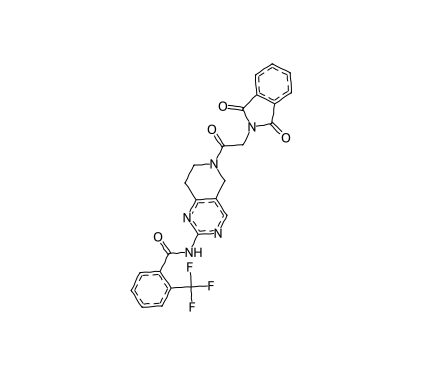 O=C(Nc1ncc2c(n1)CCN(C(=O)CN1C(=O)c3ccccc3C1=O)C2)c1ccccc1C(F)(F)F